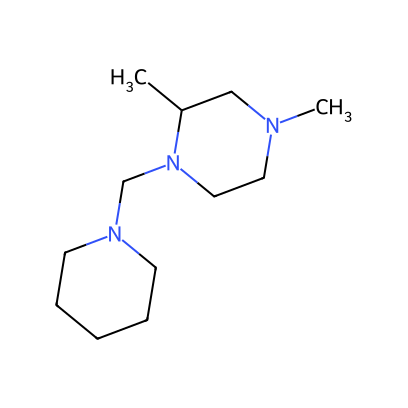 CC1CN(C)CCN1CN1CCCCC1